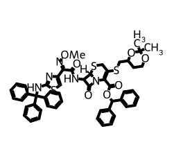 CO/N=C(\C(=O)NC1C(=O)N2C(C(=O)OC(c3ccccc3)c3ccccc3)=C(SCC3CCOC(C)(C)O3)CS[C@@H]12)c1csc(NC(c2ccccc2)(c2ccccc2)c2ccccc2)n1